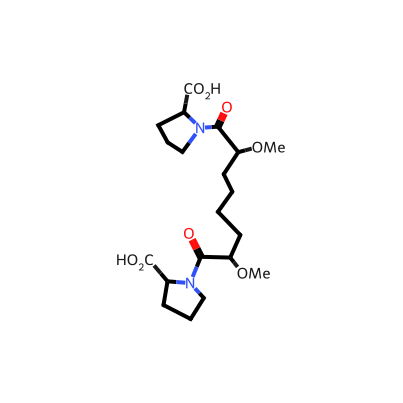 COC(CCCCC(OC)C(=O)N1CCCC1C(=O)O)C(=O)N1CCCC1C(=O)O